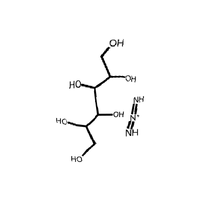 N=[N+]=N.OCC(O)C(O)C(O)C(O)CO